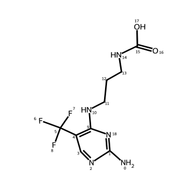 Nc1ncc(C(F)(F)F)c(NCCCNC(=O)O)n1